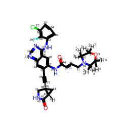 [2H]C1([2H])OC([2H])([2H])C([2H])([2H])N(C/C=C/C(=O)Nc2cc3c(Nc4cccc(Cl)c4F)ncnc3cc2C#C[C@]23CNC(=O)[C@H]2C3)C1([2H])[2H]